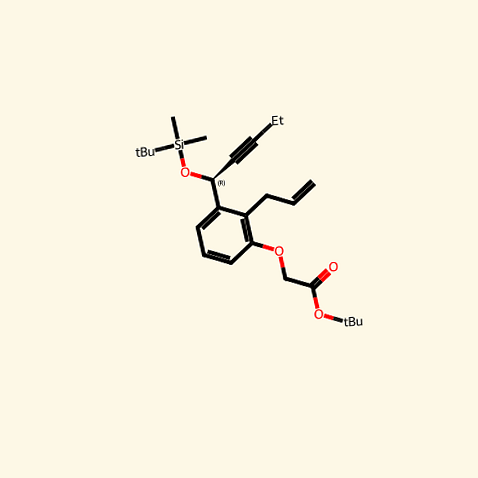 C=CCc1c(OCC(=O)OC(C)(C)C)cccc1[C@H](C#CCC)O[Si](C)(C)C(C)(C)C